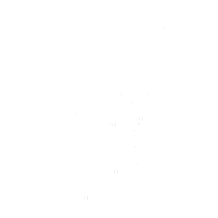 CCC(CO)(CO)CO.CCCCCCCC(=O)O.CCCCCCCC(=O)O.CCCCCCCC(=O)O